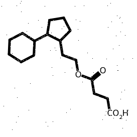 O=C(O)CCC(=O)OCCC1CCCC1C1CCCCC1